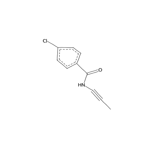 CC#CNC(=O)c1ccc(Cl)cc1